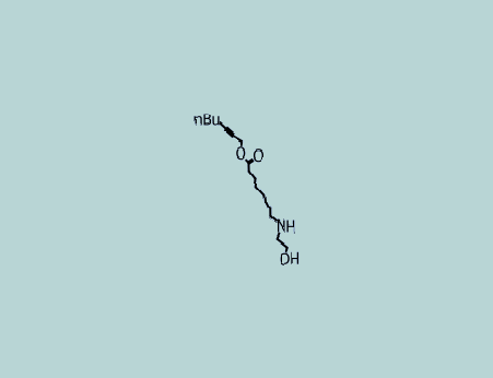 CCCCC#CCOC(=O)CCCCCCCNCCO